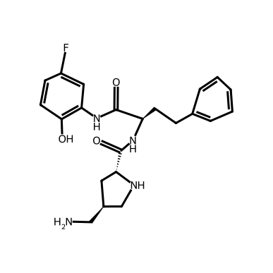 NC[C@@H]1CN[C@@H](C(=O)N[C@H](CCc2ccccc2)C(=O)Nc2cc(F)ccc2O)C1